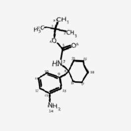 CC(C)(C)OC(=O)NC1(c2cccc(N)c2)CCCCC1